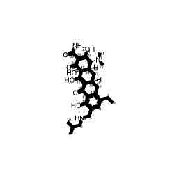 CCc1cc(CNCC(C)C)c(O)c2c1C[C@@H]1C[C@@H]3[C@@H](N(C)C)C(O)=C(C(N)=O)C(=O)[C@]3(O)C(O)=C1C2=O